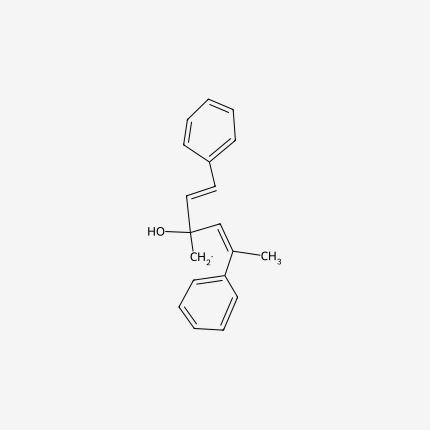 [CH2]C(O)(C=Cc1ccccc1)C=C(C)c1ccccc1